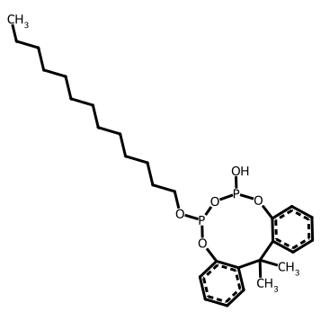 CCCCCCCCCCCCCOP1Oc2ccccc2C(C)(C)c2ccccc2OP(O)O1